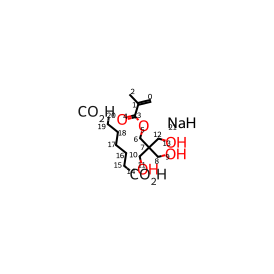 C=C(C)C(=O)OCC(CO)(CO)CO.O=C(O)CCCCCC(=O)O.[NaH]